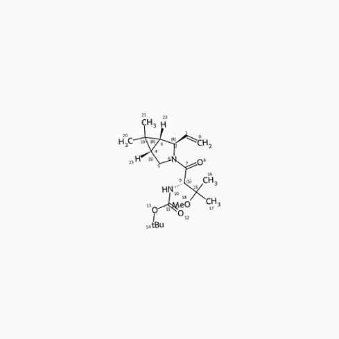 C=C[C@@H]1[C@@H]2[C@H](CN1C(=O)[C@@H](NC(=O)OC(C)(C)C)C(C)(C)OC)C2(C)C